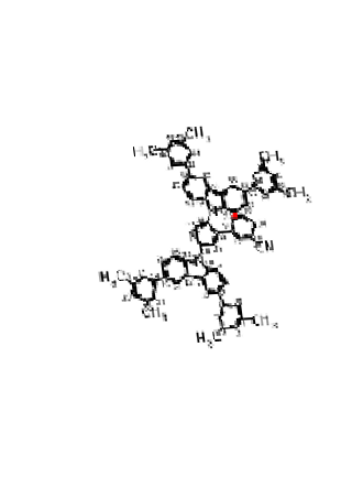 Cc1cc(C)cc(-c2ccc3c(c2)c2cc(-c4cc(C)cc(C)c4)ccc2n3-c2cc(-c3cccc(C#N)c3)c(-n3c4ccc(-c5cc(C)cc(C)c5)cc4c4cc(-c5cc(C)cc(C)c5)ccc43)cn2)c1